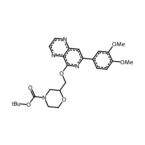 COc1ccc(-c2cc3nccnc3c(OCC3CN(C(=O)OC(C)(C)C)CCO3)n2)cc1OC